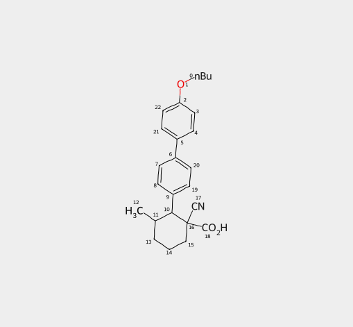 CCCCOc1ccc(-c2ccc(C3C(C)CCCC3(C#N)C(=O)O)cc2)cc1